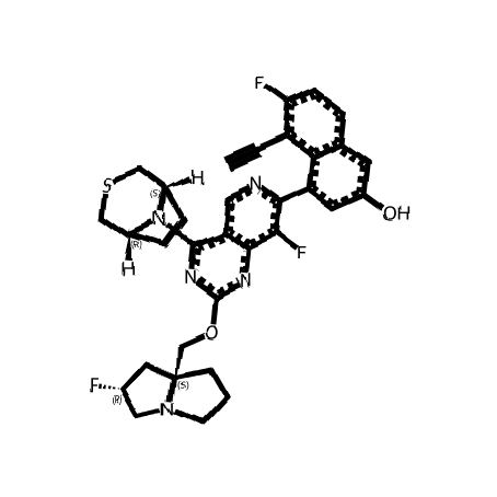 C#Cc1c(F)ccc2cc(O)cc(-c3ncc4c(N5[C@@H]6CC[C@H]5CSC6)nc(OC[C@@]56CCCN5C[C@H](F)C6)nc4c3F)c12